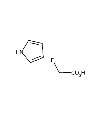 O=C(O)CF.c1cc[nH]c1